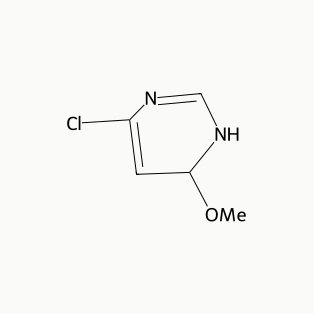 COC1C=C(Cl)N=CN1